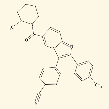 Cc1ccc(-c2nc3ccc(C(=O)N4CCCCC4C)cn3c2-c2ccc(C#N)cc2)cc1